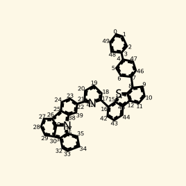 c1ccc(-c2ccc(-c3cccc4c3sc3c(-c5cccc(-c6ccc7c8cccc9c%10ccccc%10n(c7c6)c98)n5)cccc34)cc2)cc1